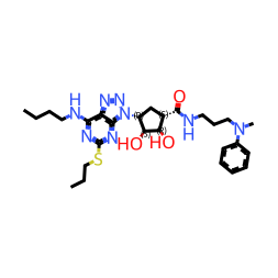 CCCCNc1nc(SCCC)nc2c1nnn2[C@@H]1C[C@H](C(=O)NCCCN(C)c2ccccc2)[C@@H](O)[C@H]1O